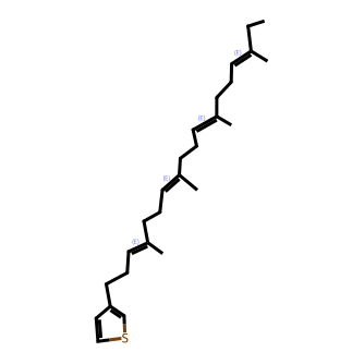 CC/C(C)=C/CC/C(C)=C/CC/C(C)=C/CC/C(C)=C/CCc1ccsc1